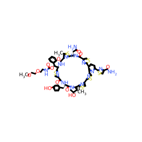 COCCOCCNC(=O)O[C@H](c1ccccc1)[C@@H]1NC(=O)c2nc(sc2C)[C@H](CC(N)=O)NC(=O)c2csc(n2)-c2ccc(-c3nc(C(N)=O)cs3)nc2-c2csc(n2)-c2csc(n2)[C@@H]2[C@@H](C)[C@@H](O)CN2C(=O)[C@H](Cc2ccc(O)cc2)NC(=O)c2csc1n2